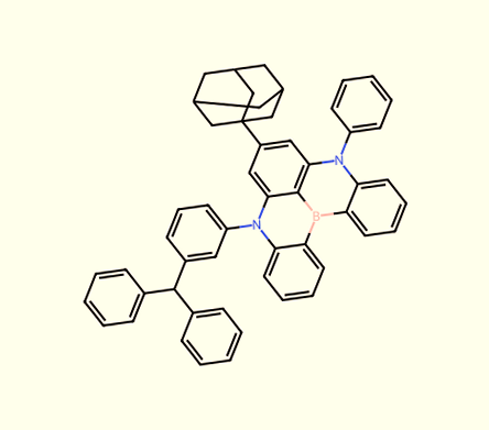 c1ccc(C(c2ccccc2)c2cccc(N3c4ccccc4B4c5ccccc5N(c5ccccc5)c5cc(C67CC8CC(CC(C8)C6)C7)cc3c54)c2)cc1